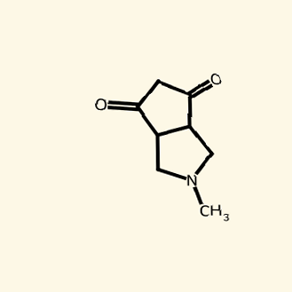 CN1CC2C(=O)CC(=O)C2C1